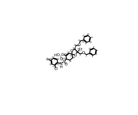 CC[C@@]1(COCc2ccccc2)OC2(C=C(C(=O)O)C(S(=O)(=O)Nc3ccc(F)cc3Cl)CC2)O[C@H]1COCc1ccccc1